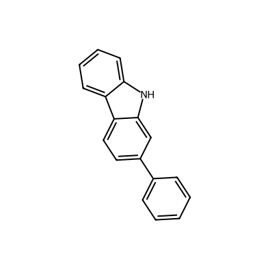 c1ccc(-c2ccc3c(c2)[nH]c2ccccc23)cc1